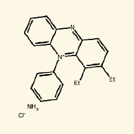 CCc1ccc2nc3ccccc3[n+](-c3ccccc3)c2c1CC.N.[Cl-]